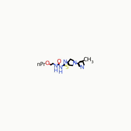 CCCOCCNC(=O)Nc1nc2c(s1)CN(c1cncc(C)c1)CC2